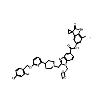 O=C(Nc1cc(C(F)(F)F)c2c(c1)C1(CC1)C(=O)N2)c1ccc2c(c1)nc(CN1CCC(c3cccc(OCc4ccc(Cl)cc4F)n3)CC1)n2C[C@@H]1CCO1